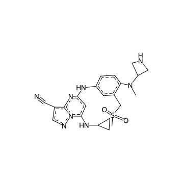 CN(c1ccc(Nc2cc(NC3CC3)n3ncc(C#N)c3n2)cc1CS(C)(=O)=O)C1CNC1